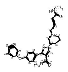 CNC(=O)/C=C/CN1CCC[C@@H](n2cc(C(N)=O)c(-c3ccc(Oc4ccccc4)cc3)n2)C1